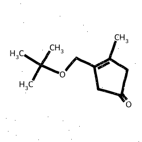 CC1=C(COC(C)(C)C)CC(=O)C1